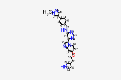 Cn1cc(-c2ccc(CNc3cc(-c4cnc5cc(OCCC6CCNC6)ccn45)ncn3)cc2)cn1